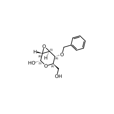 OC[C@H]1O[C@H](O)[C@@H]2O[C@H]2[C@@H]1OCc1ccccc1